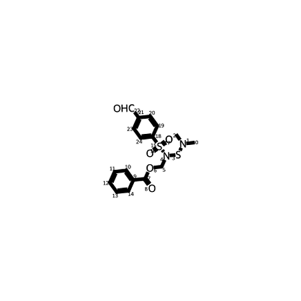 CN(C)SN(COC(=O)c1ccccc1)S(=O)(=O)c1ccc(C=O)cc1